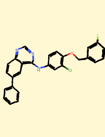 Fc1cccc(COc2ccc(Nc3ncnc4ccc(-c5ccccc5)cc34)cc2Cl)c1